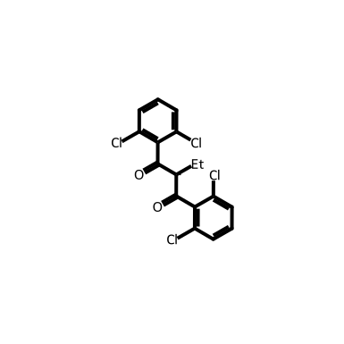 CC[C](C(=O)c1c(Cl)cccc1Cl)C(=O)c1c(Cl)cccc1Cl